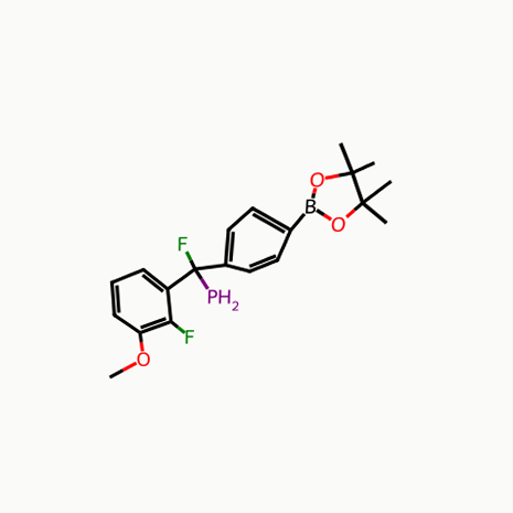 COc1cccc(C(F)(P)c2ccc(B3OC(C)(C)C(C)(C)O3)cc2)c1F